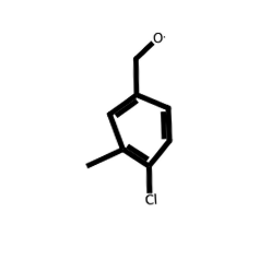 Cc1cc(C[O])ccc1Cl